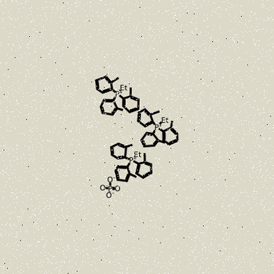 CC[P+](c1ccccc1C)(c1ccccc1C)c1ccccc1C.CC[P+](c1ccccc1C)(c1ccccc1C)c1ccccc1C.CC[P+](c1ccccc1C)(c1ccccc1C)c1ccccc1C.O=P([O-])([O-])[O-]